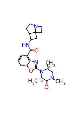 C[C@H]1CN(C)C(=O)[C@H](C)N1c1nc2c(C(=O)NC3CC45CCN4CCC35)cccc2o1